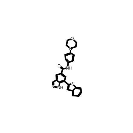 O=C(Nc1ccc(N2CCOCC2)cc1)c1cc(-c2cc3ccccc3s2)c2[nH]ncc2c1